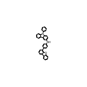 c1ccc(-n2c3ccccc3c3cc(Nc4ccc(-c5cccc6c5oc5ccccc56)cc4)ccc32)cc1